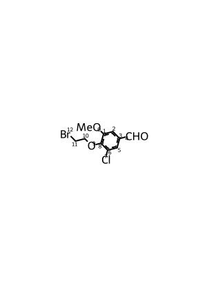 COc1cc(C=O)cc(Cl)c1OCCBr